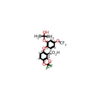 BC(B)(O)Oc1cc(OC(F)(F)F)ccc1Oc1ccc2c(c1C(=O)O)OC(F)(F)O2